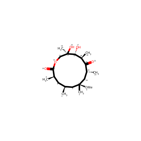 CO[C@@]1(C)C[C@@H](C)C[C@@H](C)C(=O)OC[C@@](C)(O)[C@H](O)[C@@H](C)C(=O)[C@H](C)C1